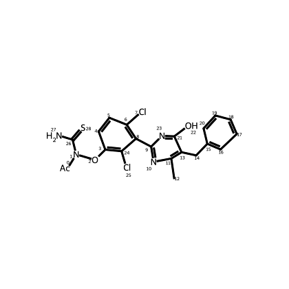 CC(=O)N(Oc1ccc(Cl)c(-c2nc(C)c(Cc3ccccc3)c(O)n2)c1Cl)C(N)=S